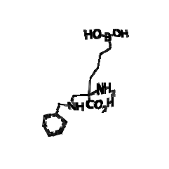 NC(CCCCB(O)O)(CNCc1ccccc1)C(=O)O